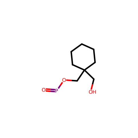 O=POCC1(CO)CCCCC1